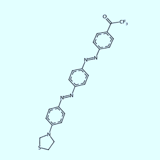 O=C(c1ccc(N=Nc2ccc(N=Nc3ccc(N4CCSC4)cc3)cc2)cc1)C(F)(F)F